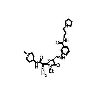 CCN1C(=O)[C@@H](CNc2cccc(C(=O)NCCCN3CCCC3)c2)S/C1=C(/N)C(=O)NC1CCN(C)CC1